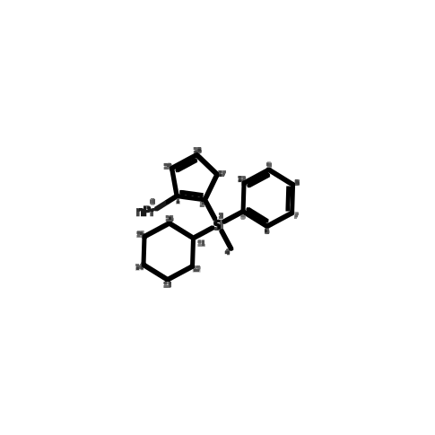 CCCC1=C([Si](C)(c2ccccc2)C2CCCCC2)CC=C1